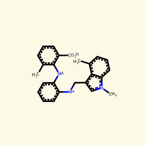 Cc1cccc(C(=O)O)c1Nc1ccccc1NCc1cn(C)c2cccc(C)c12